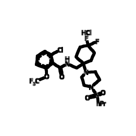 CCCS(=O)(=O)N1CCN(C2(CNC(=O)c3c(Cl)cccc3OC(F)(F)F)CCC(F)(F)CC2)CC1.Cl